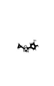 Cc1ccc(-c2nnc(C3CC3)o2)cc1I